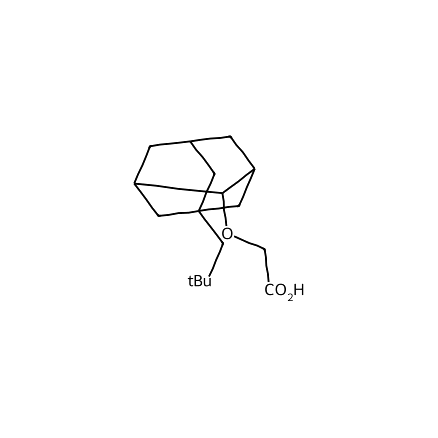 CC(C)(C)CC12CC3CC(C1)C(OCC(=O)O)C(C3)C2